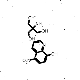 NC(CO)(CO)CO.O=[N+]([O-])c1ccc(O)c2ncccc12